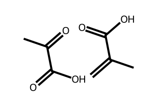 C=C(C)C(=O)O.CC(=O)C(=O)O